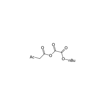 CCCCOC(=O)C(=O)OC(=O)CC(C)=O